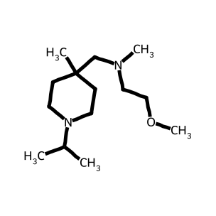 COCCN(C)CC1(C)CCN(C(C)C)CC1